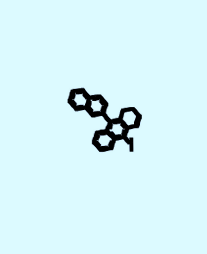 Ic1c2c(c(-c3ccc4ccccc4c3)c3ccccc13)CCC=C2